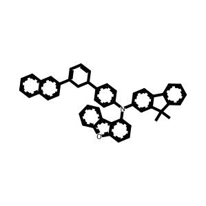 CC1(C)c2ccccc2-c2ccc(N(c3ccc(C4C=CC=C(c5ccc6ccccc6c5)C4)cc3)c3cccc4oc5ccccc5c34)cc21